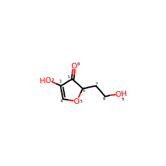 O=C1C(O)=COC1CCO